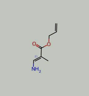 C=CCOC(=O)/C(C)=C/N